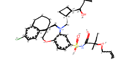 C=CCOC(C)(C)C(=O)NS(=O)(=O)c1ccc2c(c1)N(C[C@@H]1CC[C@H]1C(O)C=C)C[C@@]1(CCCc3cc(Cl)ccc31)CO2